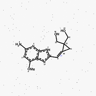 COc1nc(N)nc2[nH]c(/C=C3/CC3(CO)CO)nc12